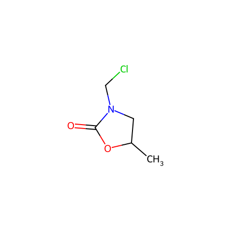 CC1CN(CCl)C(=O)O1